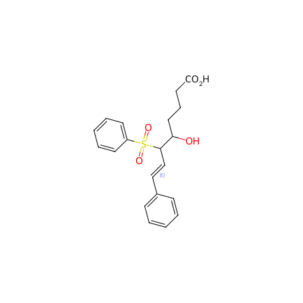 O=C(O)CCCC(O)C(/C=C/c1ccccc1)S(=O)(=O)c1ccccc1